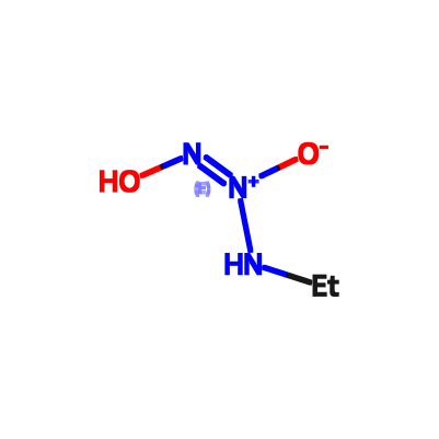 CCN/[N+]([O-])=N\O